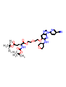 CC(C)(C)OC(=O)CC[C@H](NC(=O)OC(C)(C)C)C(=O)OCCOCCOc1cc2ncn(-c3ccc(C#N)cn3)c2nc1NC1CCOCC1